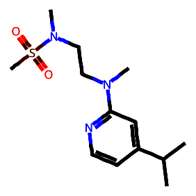 CC(C)c1ccnc(N(C)CCN(C)S(C)(=O)=O)c1